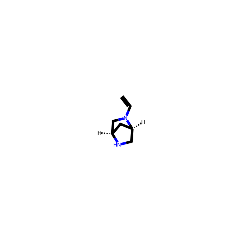 C=CN1C[C@H]2C[C@@H]1CN2